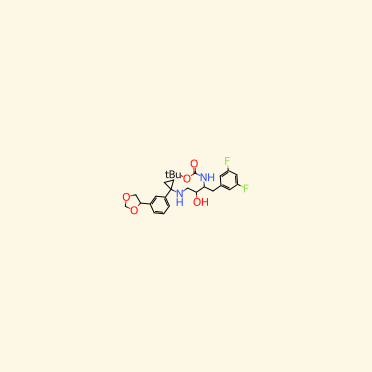 CC(C)(C)OC(=O)NC(Cc1cc(F)cc(F)c1)C(O)CNC1(c2cccc(C3COCO3)c2)CC1